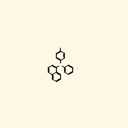 [B+2]c1ccc(N(c2ccccc2)c2cccc3ccccc23)cc1.[OH-].[OH-]